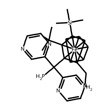 CC(C)(C)[C]12[C]3(C(P)(c4cnccn4)c4cnccn4)[C]4(CP)[CH]5[C]1([Si](C)(C)C)[Fe]54321678[CH]2[CH]1[CH]6[CH]7[CH]28